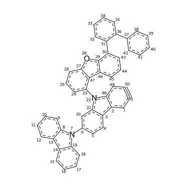 c1cc2c3ccc(-n4c5ccccc5c5ccccc54)cc3n(-c3cccc4oc5c(-c6ccccc6-c6ccccc6)cccc5c34)c2cc#1